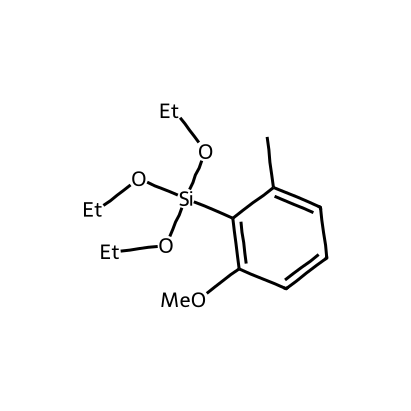 CCO[Si](OCC)(OCC)c1c(C)cccc1OC